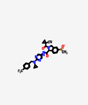 C[S+]([O-])c1ccc2c(c1)CN(C(=O)C1(C#N)CC1)C2C(=O)Nc1cnc(N(Cc2ccc(C(F)(F)F)cc2)C2CC2)nc1